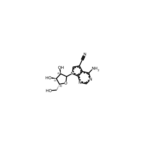 N#Cc1cn(C2O[C@H](CO)[C@@H](O)[C@H]2O)c2ncnc(N)c12